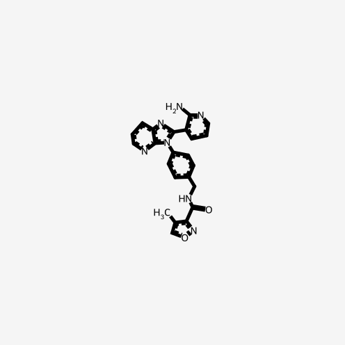 Cc1conc1C(=O)NCc1ccc(-n2c(-c3cccnc3N)nc3cccnc32)cc1